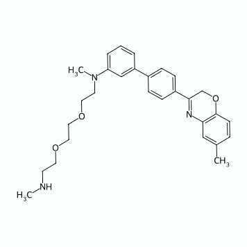 CNCCOCCOCCN(C)c1cccc(-c2ccc(C3=Nc4cc(C)ccc4OC3)cc2)c1